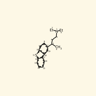 CCN(CC)CCC(C)c1ccc2sc3ccccc3c2c1